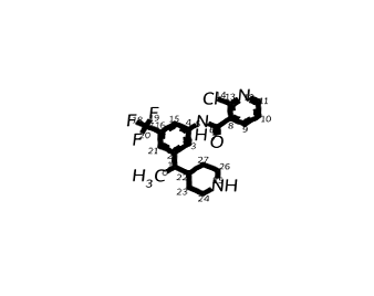 CC(c1cc(NC(=O)c2cccnc2Cl)cc(C(F)(F)F)c1)C1CCNCC1